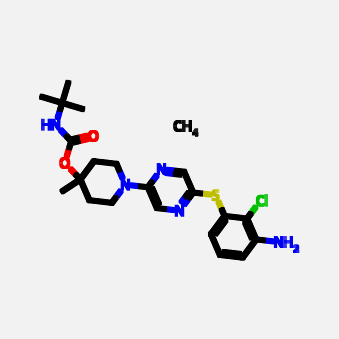 C.CC(C)(C)NC(=O)OC1(C)CCN(c2cnc(Sc3cccc(N)c3Cl)cn2)CC1